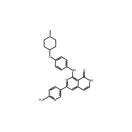 CN1CCC(Oc2ccc(Nc3nc(-c4ccc(N)nc4)cc4cc[nH]c(=O)c34)cc2)CC1